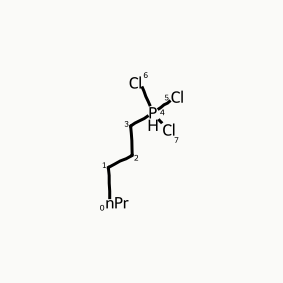 CCCCCC[PH](Cl)(Cl)Cl